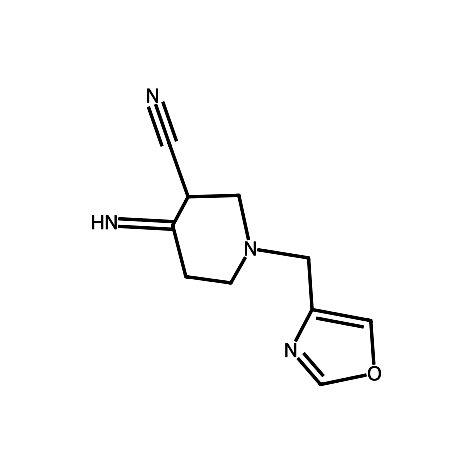 N#CC1CN(Cc2cocn2)CCC1=N